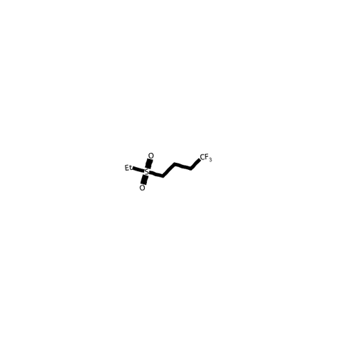 [CH2]CS(=O)(=O)CCCC(F)(F)F